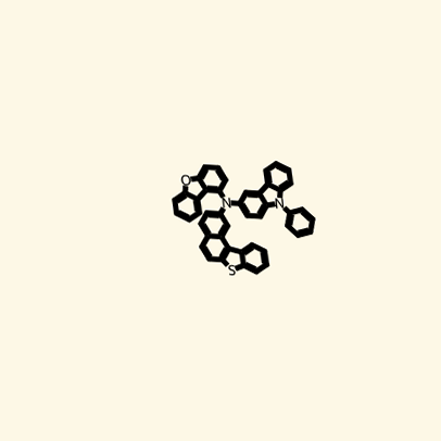 c1ccc(-n2c3ccccc3c3cc(N(c4ccc5ccc6sc7ccccc7c6c5c4)c4cccc5oc6ccccc6c45)ccc32)cc1